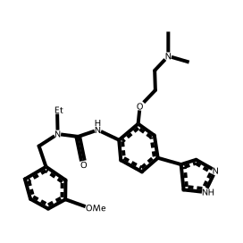 CCN(Cc1cccc(OC)c1)C(=O)Nc1ccc(-c2cn[nH]c2)cc1OCCN(C)C